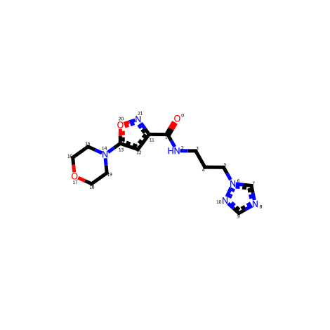 O=C(NCCCn1cncn1)c1cc(N2CCOCC2)on1